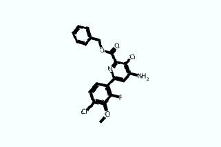 COc1c(Cl)ccc(-c2cc(N)c(Cl)c(C(=O)OCc3ccccc3)n2)c1F